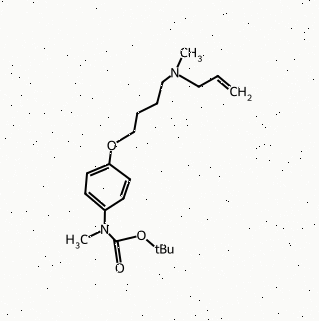 C=CCN(C)CCCCOc1ccc(N(C)C(=O)OC(C)(C)C)cc1